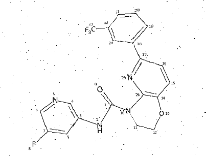 O=C(Nc1cncc(F)c1)N1CCOc2ccc(-c3cccc(C(F)(F)F)c3)nc21